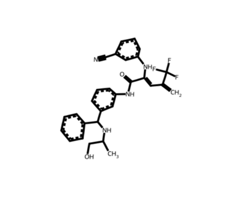 C=C(/C=C(\Nc1cccc(C#N)c1)C(=O)Nc1cccc(C(NC(C)CO)c2ccccc2)c1)C(F)(F)F